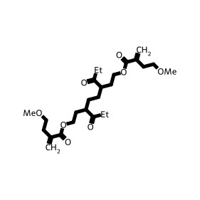 C=C(CCOC)C(=O)OCCC(CCC(CCOC(=O)C(=C)CCOC)C(=O)CC)C(=O)CC